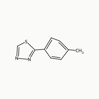 Cc1ccc(-c2nncs2)cc1